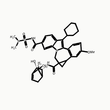 COc1ccc2c(c1)C1CC1(C(=O)N[C@@H]1C3CC=C([C@@H]1O)C3(C)C)Cn1c-2c(C2CCCCC2)c2ccc(C(=O)NS(=O)(=O)N(C)C)cc21